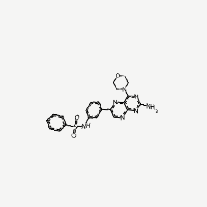 Nc1nc(N2CCOCC2)c2nc(-c3cccc(NS(=O)(=O)c4ccccc4)c3)cnc2n1